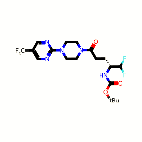 CC(C)(C)OC(=O)N[C@H](CCC(=O)N1CCN(c2ncc(C(F)(F)F)cn2)CC1)C(F)F